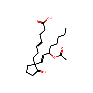 CCCCCC(/C=C/C1(CC/C=C/CCC(=O)O)CCCC1=O)OC(C)=O